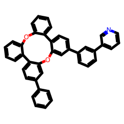 c1ccc(-c2ccc3c(c2)Oc2cc(-c4cccc(-c5cccnc5)c4)ccc2-c2ccccc2Oc2ccccc2-3)cc1